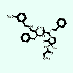 CC[C@H](C)[C@@]1(NC(=O)COC)CCN([C@@H](CCc2ccccc2)C(=O)N[C@@H](Cc2ccccc2)[C@H](O)CNCc2cccc(OC)c2)C1=O